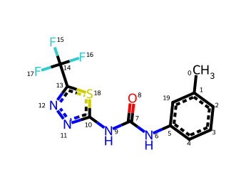 Cc1cccc(NC(=O)Nc2nnc(C(F)(F)F)s2)c1